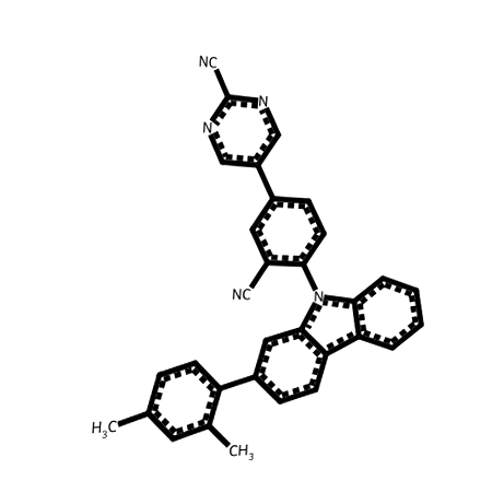 Cc1ccc(-c2ccc3c4ccccc4n(-c4ccc(-c5cnc(C#N)nc5)cc4C#N)c3c2)c(C)c1